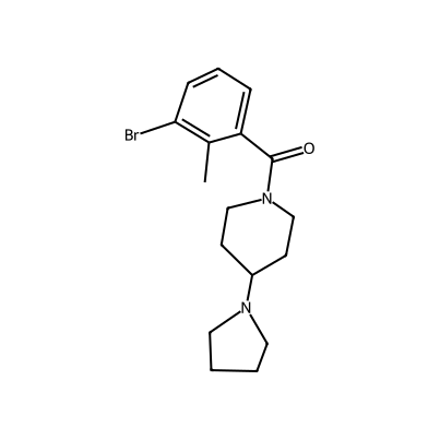 Cc1c(Br)cccc1C(=O)N1CCC(N2CCCC2)CC1